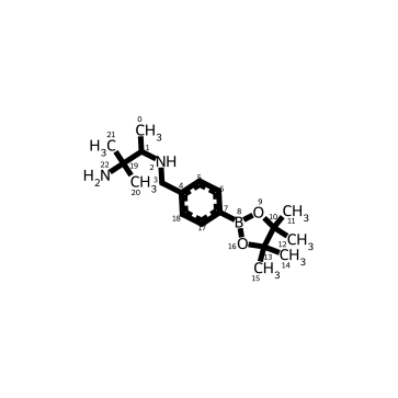 CC(NCc1ccc(B2OC(C)(C)C(C)(C)O2)cc1)C(C)(C)N